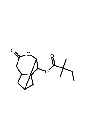 CCC(C)(C)C(=O)OC1C2CC3CC2CC(=O)OC31